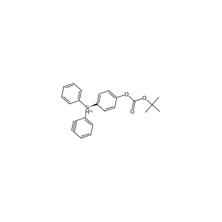 CC(C)(C)OC(=O)Oc1ccc([Si@@H](c2c#cccc2)c2ccccc2)cc1